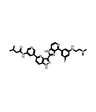 CC(C)CC(=O)Nc1cncc(-c2ccc3[nH]nc(-c4nc5c(-c6cc(F)cc(NCCN(C)C)c6)nccc5[nH]4)c3n2)c1